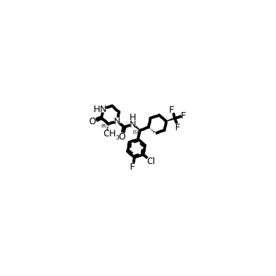 C[C@@H]1C(=O)NCCN1C(=O)N[C@H](c1ccc(F)c(Cl)c1)[C@H]1CC[C@H](C(F)(F)F)CC1